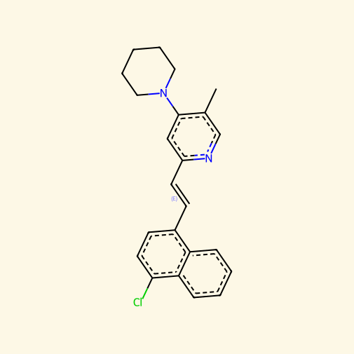 Cc1cnc(/C=C/c2ccc(Cl)c3ccccc23)cc1N1CCCCC1